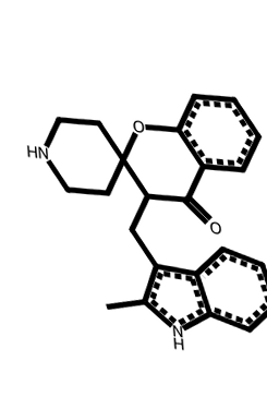 Cc1[nH]c2ccccc2c1CC1C(=O)c2ccccc2OC12CCNCC2